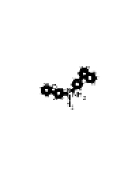 NC(NC(N)C1=CC=C(c2cccc3c2CCC=C3)CC1)C1=CCC2C(=C1)Oc1ccccc12